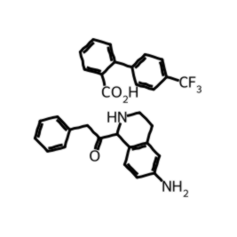 Nc1ccc2c(c1)CCNC2C(=O)Cc1ccccc1.O=C(O)c1ccccc1-c1ccc(C(F)(F)F)cc1